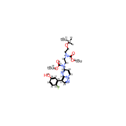 CC(C)(C)OC(=O)N(CCO[Si](C)(C)C(C)(C)C)CCN(C(=O)OC(C)(C)C)c1ccn2ncc(-c3cc(O)ccc3F)c2n1